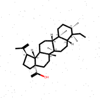 C=C(C)[C@@H]1CC[C@]2(C(=C)O)CC[C@]3(C)C(CC[C@@H]4[C@@]5(C)CC[C@H](C)[C@@](C)(CC)[C@@H]5CC[C@]43C)[C@@H]12